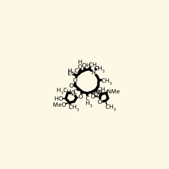 CCC1OC(=O)C(C)C(O[C@@H]2C[C@@](C)(OC)[C@@H](O)[C@H](C)O2)C(C)C(O[C@@H]2O[C@H](C)C[C@H](NC)[C@H]2O)C(C)(O)CC(C)CN(C)C(C)C(O)C1(C)O